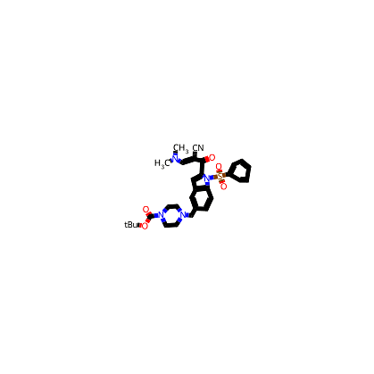 CN(C)C=C(C#N)C(=O)c1cc2cc(CN3CCN(C(=O)OC(C)(C)C)CC3)ccc2n1S(=O)(=O)c1ccccc1